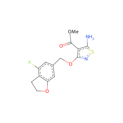 COC(=O)c1c(OCc2cc(F)c3c(c2)OCC3)nsc1N